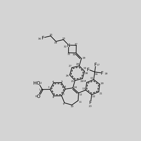 O=C(O)c1ccc2c(c1)CCCC(c1cc(C(F)(F)F)ccc1F)=C2c1ccc(C=C2CN(CCCF)C2)cc1